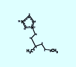 CCCC(C)CCn1ccnc1